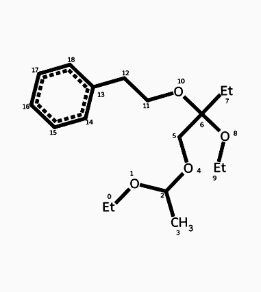 CCOC(C)OCC(CC)(OCC)OCCc1ccccc1